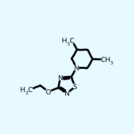 CCOc1nsc(N2CC(C)CC(C)C2)n1